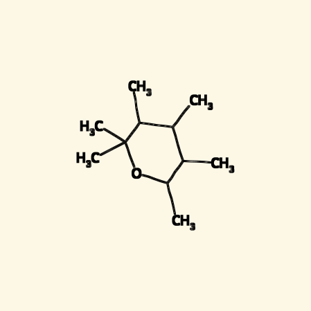 CC1OC(C)(C)C(C)C(C)C1C